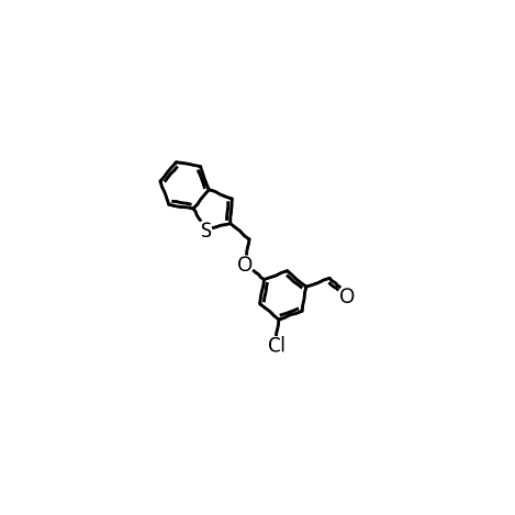 O=Cc1cc(Cl)cc(OCc2cc3ccccc3s2)c1